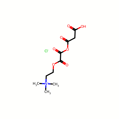 C[N+](C)(C)CCOC(=O)C(=O)OC(=O)CC(=O)O.[Cl-]